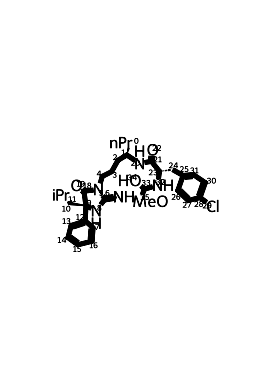 CCC[C@@H](CCCN1C(=N)N[C@](CC(C)C)(c2ccccc2)C1=O)NC(=O)[C@H](Cc1ccc(Cl)cc1)NC(O)OC